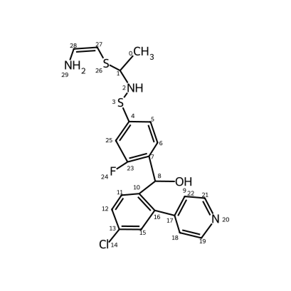 CC(NSc1ccc(C(O)c2ccc(Cl)cc2-c2ccncc2)c(F)c1)S/C=C\N